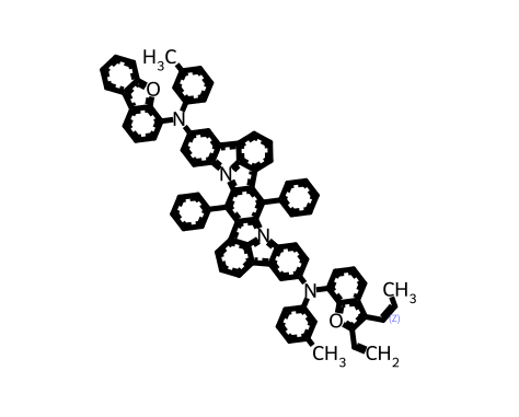 C=Cc1oc2c(N(c3cccc(C)c3)c3ccc4c(c3)c3cccc5c6c(-c7ccccc7)c7c(c(-c8ccccc8)c6n4c35)c3cccc4c5cc(N(c6cccc(C)c6)c6cccc8c6oc6ccccc68)ccc5n7c43)cccc2c1/C=C\C